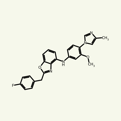 COc1cc(Nc2cccc3oc(Cc4ccc(F)cc4)nc23)ccc1-n1cnc(C)c1